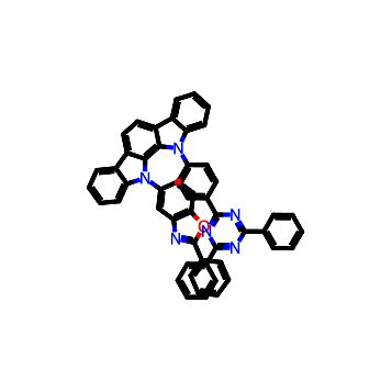 c1ccc(-c2nc(-c3ccccc3)nc(-c3ccc(-n4c5ccccc5c5ccc6c7ccccc7n(-c7ccc8oc(-c9ccccc9)nc8c7)c6c54)cc3)n2)cc1